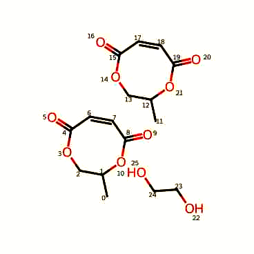 CC1COC(=O)/C=C\C(=O)O1.CC1COC(=O)/C=C\C(=O)O1.OCCO